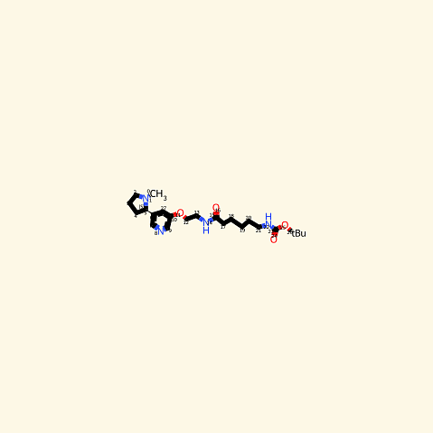 CN1CCC[C@H]1c1cncc(OCCNC(=O)CCCCCNC(=O)OC(C)(C)C)c1